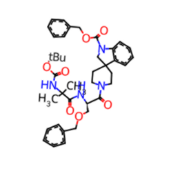 CC(C)(C)OC(=O)NC(C)(C)C(=O)N[C@H](COCc1ccccc1)C(=O)N1CCC2(CC1)CN(C(=O)OCc1ccccc1)c1ccccc12